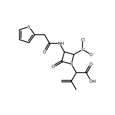 C=C(C)C(C(=O)O)N1C(=O)C(NC(=O)Cc2cccs2)C1[S+]([O-])Cl